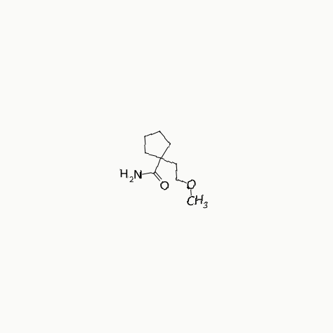 COCCC1(C(N)=O)CCCC1